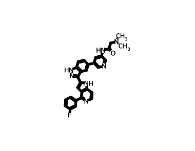 CN(C)CC(=O)Nc1cncc(-c2ccc3[nH]nc(-c4cc5c(-c6cccc(F)c6)nccc5[nH]4)c3c2)c1